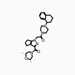 C[C@@H]1CN(C(=O)c2nn(CC(=O)N3CCN(C4CCCc5ccccc54)CC3)c3c2CCC3)C[C@H](C)O1